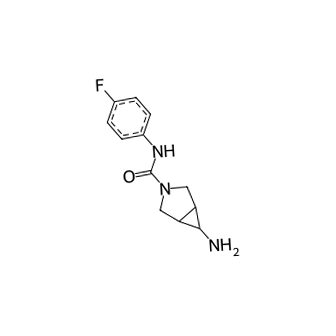 NC1C2CN(C(=O)Nc3ccc(F)cc3)CC12